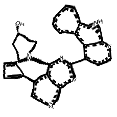 O[C@@H]1CCN(c2nc(-c3ccnc4[nH]c5ccccc5c34)nc3cncc(C4=CC=C4)c23)C1